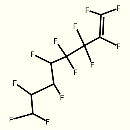 FC(F)=C(F)C(F)(F)C(F)(F)C(F)C(F)C(F)C(F)F